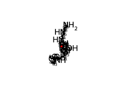 COC(=O)[C@@H](NC(=O)CC[C@@H](C)[C@H]1CC[C@H]2[C@@H]3[C@H](O)C[C@@H]4C[C@@H](NCCCNCCCN)CC[C@]4(C)[C@H]3CC[C@]12C)C(C)C